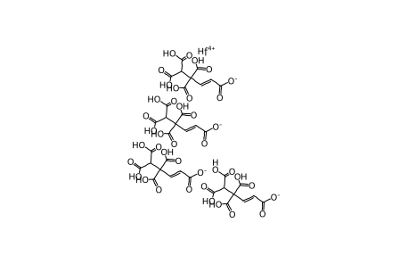 O=C([O-])C=CC(C(=O)O)(C(=O)O)C(C(=O)O)C(=O)O.O=C([O-])C=CC(C(=O)O)(C(=O)O)C(C(=O)O)C(=O)O.O=C([O-])C=CC(C(=O)O)(C(=O)O)C(C(=O)O)C(=O)O.O=C([O-])C=CC(C(=O)O)(C(=O)O)C(C(=O)O)C(=O)O.[Hf+4]